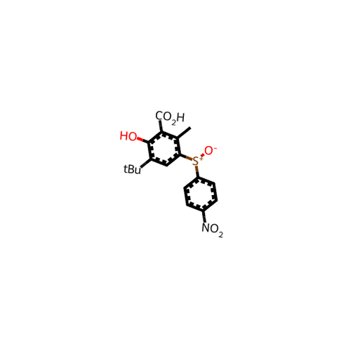 Cc1c([S+]([O-])c2ccc([N+](=O)[O-])cc2)cc(C(C)(C)C)c(O)c1C(=O)O